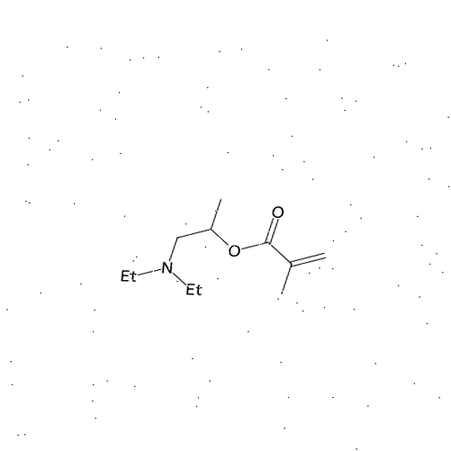 C=C(C)C(=O)OC(C)CN(CC)CC